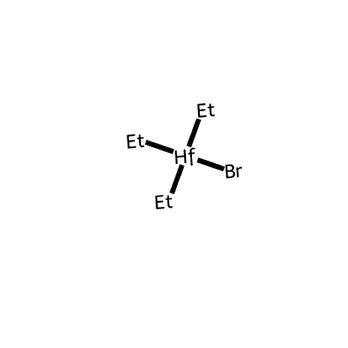 C[CH2][Hf]([Br])([CH2]C)[CH2]C